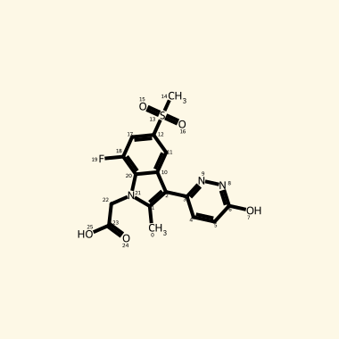 Cc1c(-c2ccc(O)nn2)c2cc(S(C)(=O)=O)cc(F)c2n1CC(=O)O